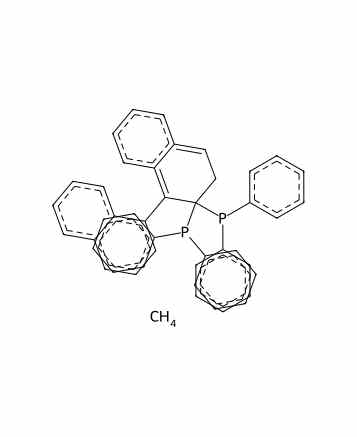 C.C1=c2ccccc2=C(c2cccc3ccccc23)C(P(c2ccccc2)c2ccccc2)(P(c2ccccc2)c2ccccc2)C1